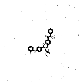 CC(F)(F)CN(Cc1ccc(C(=O)C(O)c2ccccc2)cc1)C(=O)c1ccc(Oc2ccccc2F)cc1